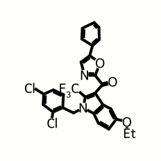 CCOc1ccc2c(c1)c(C(=O)c1ncc(-c3ccccc3)o1)c(C(F)(F)F)n2Cc1ccc(Cl)cc1Cl